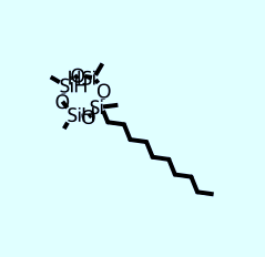 CCCCCCCCCC[Si]1(C)O[SiH](C)O[SiH](C)O[SiH](C)O1